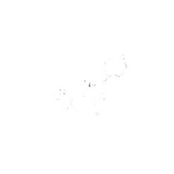 CC(C)c1sc(-c2ccccc2)nc1C(N)=O